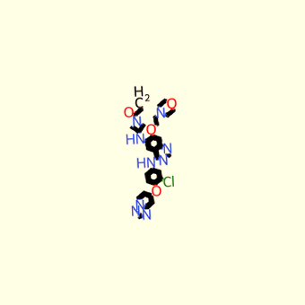 C=CC(=O)N1CC(Nc2cc3c(Nc4ccc(Oc5ccn6ncnc6c5)c(Cl)c4)ncnc3cc2OCCN2CCOCC2)C1